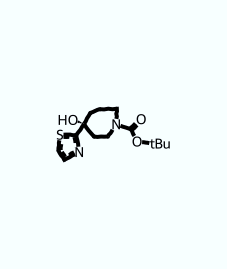 CC(C)(C)OC(=O)N1CCC[C@](O)(c2nccs2)CC1